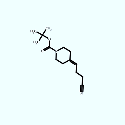 CC(C)(C)OC(=O)N1CCC(=CCCC#N)CC1